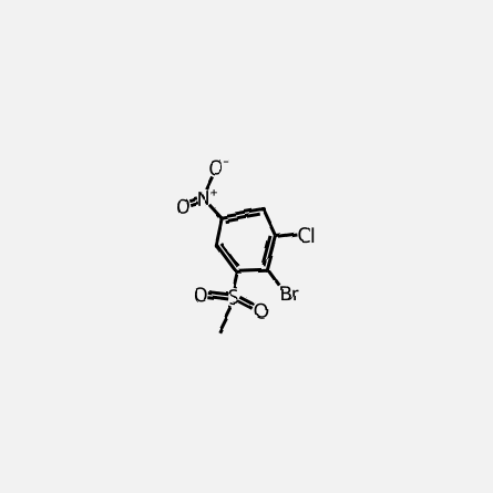 CS(=O)(=O)c1cc([N+](=O)[O-])cc(Cl)c1Br